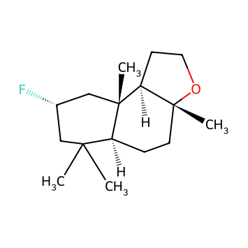 CC1(C)C[C@H](F)C[C@]2(C)[C@H]3CCO[C@]3(C)CC[C@@H]12